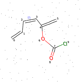 C=C/C=C\C(=C)OC(=O)Cl